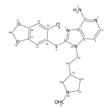 Nc1nccc2c1nc(Sc1cc3c(cc1Cl)OCO3)n2CCC1CCN(C=O)C1